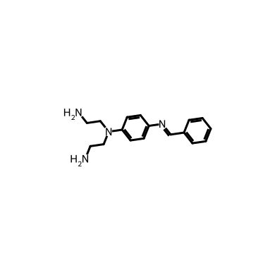 NCCN(CCN)c1ccc(N=Cc2ccccc2)cc1